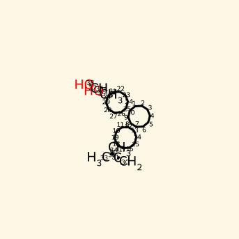 C1CCCCCCCCC1.C1CCCCCCCCC1.C1CCCCCCCCC1.C=C=C(C)C.CO.CO